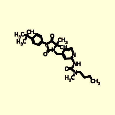 CCCCN(C)C(=O)Nc1cc(CN2C(=O)N(c3ccc(C(C)(C)C)cc3)C(=O)C2(C)C)ccn1